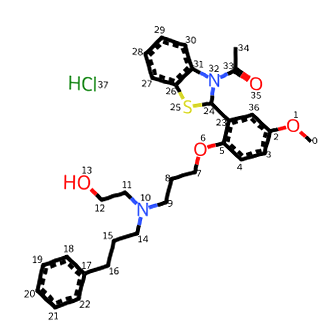 COc1ccc(OCCCN(CCO)CCCc2ccccc2)c(C2Sc3ccccc3N2C(C)=O)c1.Cl